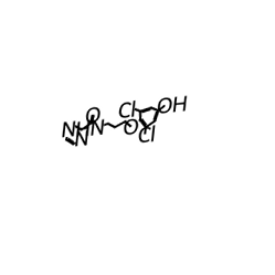 O=C(NCCCOc1c(Cl)cc(O)cc1Cl)c1cnccn1